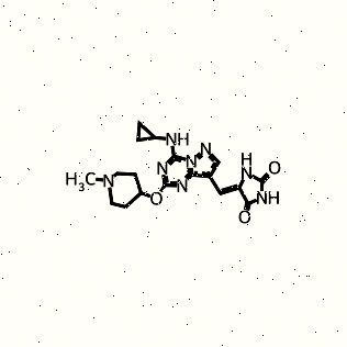 CN1CCC(Oc2nc(NC3CC3)n3ncc(/C=C4\NC(=O)NC4=O)c3n2)CC1